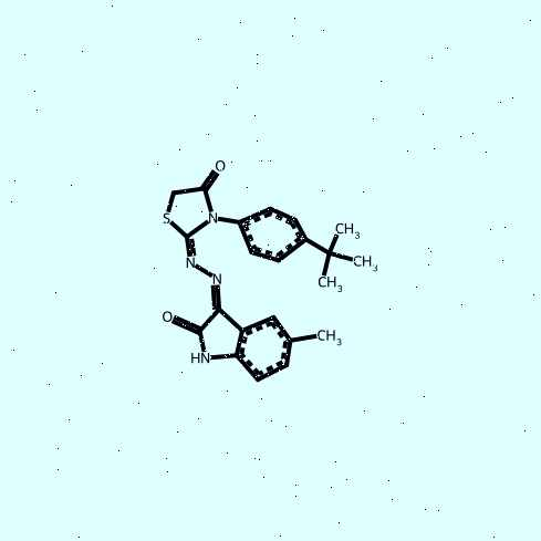 Cc1ccc2c(c1)C(=NN=C1SCC(=O)N1c1ccc(C(C)(C)C)cc1)C(=O)N2